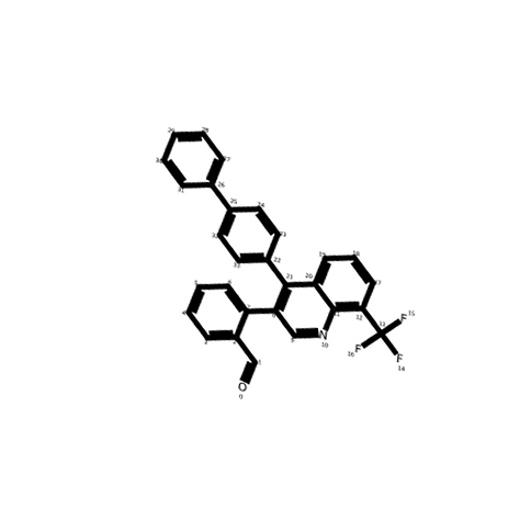 O=Cc1ccccc1-c1cnc2c(C(F)(F)F)cccc2c1-c1ccc(-c2ccccc2)cc1